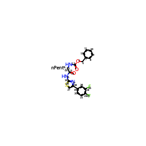 CCCCC[C@H](NC(=O)OCc1ccccc1)C(=O)Nc1nc(-c2ccc(F)c(F)c2)cs1